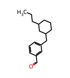 CCCC1CCCC(Cc2cccc(C=O)c2)C1